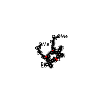 CCC1(CC)CCC2(CC1)c1ccccc1-c1c2c2c(c3cc4c(cc13)OC(C)(C)S4)OC(c1ccc(OCCOC(=O)CCC(=O)OCCOC)cc1)(c1ccc(Oc3ccc(C4(c5ccc(OCCOC(=O)CCC(=O)OCCOC)cc5)C=Cc5c6c(c7cc8c(cc7c5O4)SC(C)(C)O8)-c4ccccc4C64CCC(CC)(CC)CC4)cc3)cc1)C=C2